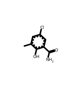 Cc1cc(Cl)cc(C(N)=O)c1O